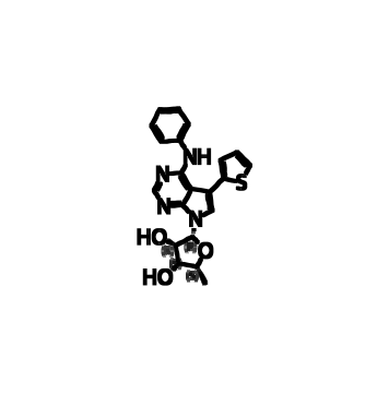 C[C@@H]1O[C@@H](n2cc(-c3cccs3)c3c(Nc4ccccc4)ncnc32)[C@H](O)[C@@H]1O